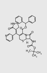 CC(C)(C)OC(=O)N[C@@H]1C(=O)N2C(C(=O)OC(c3ccccc3)c3ccccc3)=C(C(=C3CCNC3=O)c3cccnc3)CS[C@H]12